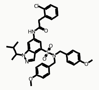 COc1ccc(CN(Cc2ccc(OC)cc2)S(=O)(=O)c2cc(NC(=O)Cc3ccccc3Cl)cc3c2cnn3C(C)C(C)C)cc1